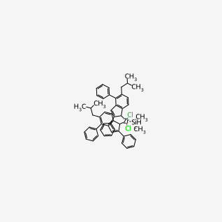 CC(C)Cc1ccc2c(c1-c1ccccc1)C=C(c1ccccc1)[CH]2[Zr]([Cl])([Cl])([CH]1C(c2ccccc2)=Cc2c1ccc(CC(C)C)c2-c1ccccc1)[SiH](C)C